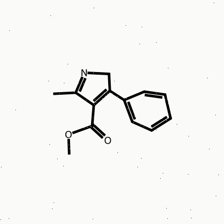 COC(=O)C1=C(c2ccccc2)CN=C1C